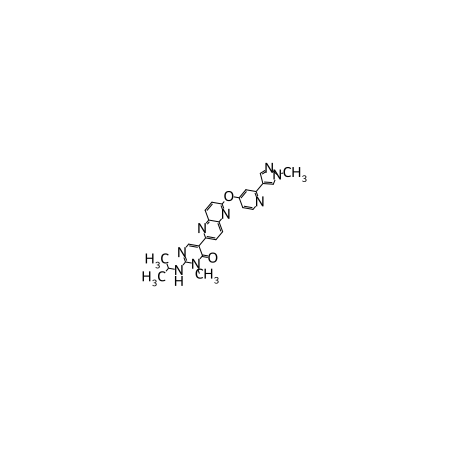 CC(C)Nc1ncc(-c2ccc3nc(Oc4ccnc(-c5cnn(C)c5)c4)ccc3n2)c(=O)n1C